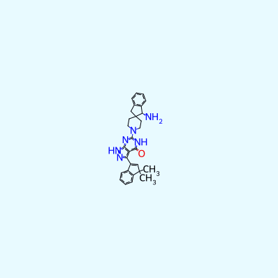 CC1(C)C=C(c2n[nH]c3nc(N4CCC5(CC4)Cc4ccccc4[C@H]5N)[nH]c(=O)c23)c2ccccc21